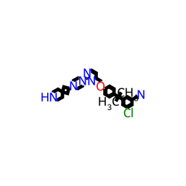 CC(C)(c1ccc(OCc2ccnc(N3CCN(C4CC5(CCNCC5)C4)CC3)n2)cc1)c1cc(Cl)cc(C#N)c1